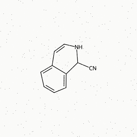 N#CC1NC=Cc2ccccc21